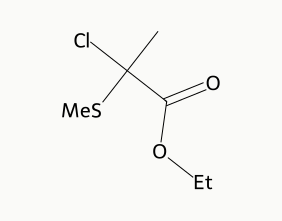 CCOC(=O)C(C)(Cl)SC